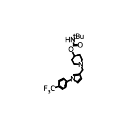 CC(C)(C)NC(=O)OC1CCN(Cc2ccn(-c3ccc(C(F)(F)F)cc3)c2)CC1